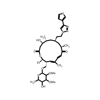 CC[C@H]1OC(=O)C[C@@H](O)[C@H](C)C[C@@H](CCn2cc(-c3ccsc3)nn2)C[C@@H](C)C(=O)/C=C/C(C)=C/[C@@H]1COC1OC(C)C(O)C(OC)C1OC